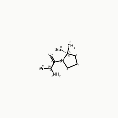 CC(C)[C@H](N)C(=O)N1CCC[C@@]1(C)C(C)(C)C